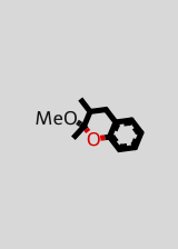 COC1(C)Oc2ccccc2CC1C